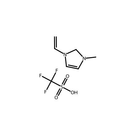 C=CN1C=CN(C)C1.O=S(=O)(O)C(F)(F)F